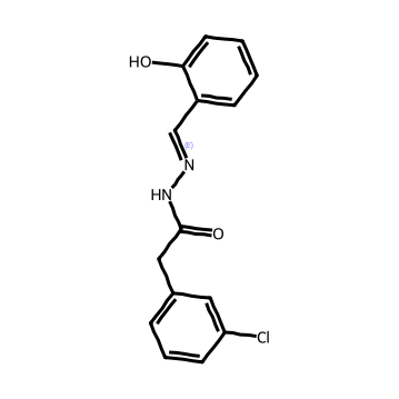 O=C(Cc1cccc(Cl)c1)N/N=C/c1ccccc1O